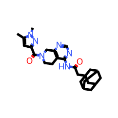 Cc1cc(C(=O)N2CCc3c(ncnc3NC(=O)CC34CC5CC(CC(C5)C3)C4)C2)nn1C